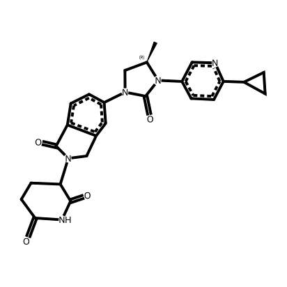 C[C@@H]1CN(c2ccc3c(c2)CN(C2CCC(=O)NC2=O)C3=O)C(=O)N1c1ccc(C2CC2)nc1